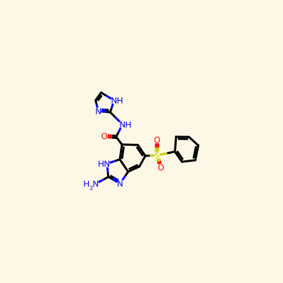 Nc1nc2cc(S(=O)(=O)c3ccccc3)cc(C(=O)Nc3ncc[nH]3)c2[nH]1